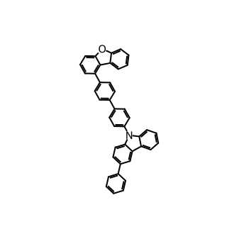 c1ccc(-c2ccc3c(c2)c2ccccc2n3-c2ccc(-c3ccc(-c4cccc5oc6ccccc6c45)cc3)cc2)cc1